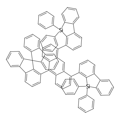 c1ccc([Si]2(c3ccccc3)c3ccccc3-c3cccc(-c4cccc5c(-c6cccc7c6C6(c8ccccc8-c8ccccc86)c6ccccc6-7)c6cccc(-c7cccc8c7[Si](c7ccccc7)(c7ccccc7)c7ccccc7-8)c6cc45)c32)cc1